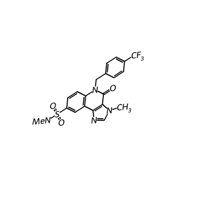 CNS(=O)(=O)c1ccc2c(c1)c1ncn(C)c1c(=O)n2Cc1ccc(C(F)(F)F)cc1